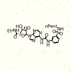 CCCCCNS(=O)(=O)c1cccc(NC(=O)Nc2ncnc3c2ncn3[C@@H]2O[C@H](C(=O)NCC)C(O)C2O)c1